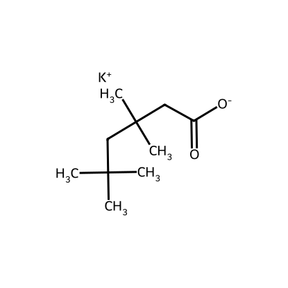 CC(C)(C)CC(C)(C)CC(=O)[O-].[K+]